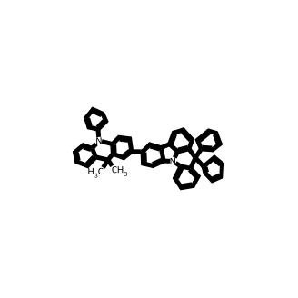 CC1(C)c2ccccc2N(c2ccccc2)c2ccc(-c3ccc4c(c3)c3cccc5c3n4-c3ccccc3C5(c3ccccc3)c3ccccc3)cc21